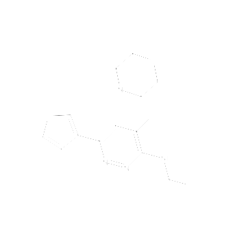 C1COCCN1.CCNc1nnc(-c2ccsc2)cc1C